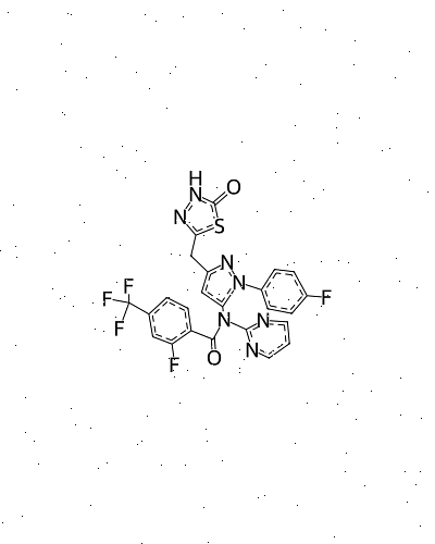 O=C(c1ccc(C(F)(F)F)cc1F)N(c1ncccn1)c1cc(Cc2n[nH]c(=O)s2)nn1-c1ccc(F)cc1